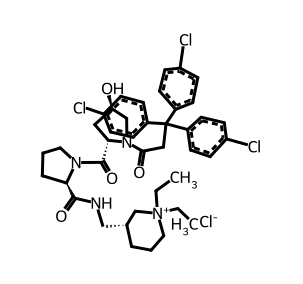 CC[N+]1(CC)CCC[C@H](CNC(=O)[C@H]2CCCN2C(=O)[C@@H]2C[C@@H](O)CN2C(=O)CC(c2ccc(Cl)cc2)(c2ccc(Cl)cc2)c2ccc(Cl)cc2)C1.[Cl-]